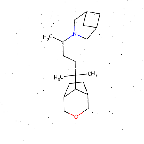 CC(CCC(C)(C)C1C2CCC1COC2)N1CC2CC(C2)C1